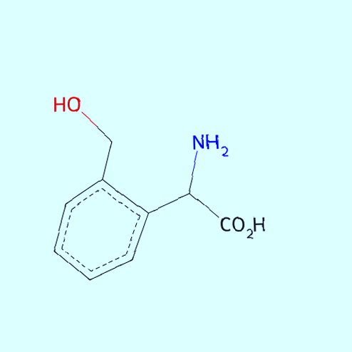 NC(C(=O)O)c1ccccc1CO